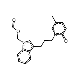 Cc1ccc(=O)n(CCCc2cn(COC=O)c3ccccc23)c1